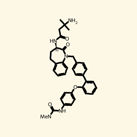 CNC(=O)Nc1ccc(Oc2ccccc2-c2ccc(CN3C(=O)[C@H](NC(=O)CC(C)(C)N)CCc4ccccc43)cc2)cc1